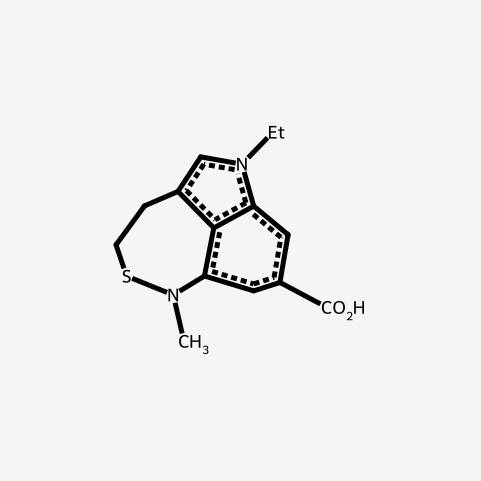 CCn1cc2c3c(cc(C(=O)O)cc31)N(C)SCC2